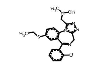 CCSc1ccc2c(c1)C(c1ccccc1Cl)=NCc1nnc(CN(C)O)n1-2